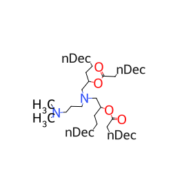 CCCCCCCCCCCCC(CN(CCCN(C)C)CC(CCCCCCCCCCCC)OC(=O)CCCCCCCCCCC)OC(=O)CCCCCCCCCCC